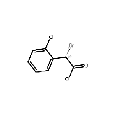 O=C(Cl)[C@@H](Br)c1ccccc1Cl